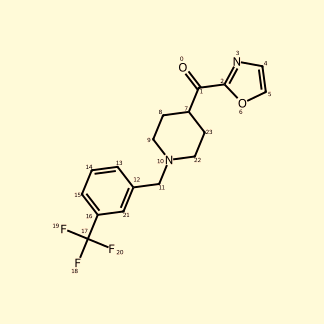 O=C(c1ncco1)C1CCN(Cc2cccc(C(F)(F)F)c2)CC1